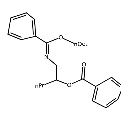 CCCCCCCCOC(=NCC(CCC)OC(=O)c1ccccc1)c1ccccc1